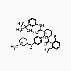 Cc1cccc(F)c1C(=O)N1CCC[C@H](C(=O)Nc2cccc(C(C)(C)C)c2)[C@@H]1c1ccc(NC2CCC[C@@H](C)C2)cc1